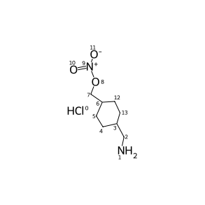 Cl.NCC1CCC(CO[N+](=O)[O-])CC1